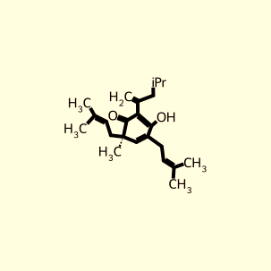 C=C(CC(C)C)C1=C(O)C(CC=C(C)C)=C[C@@](C)(CC=C(C)C)C1=O